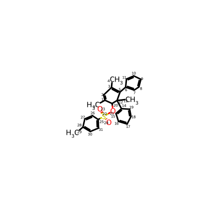 CC1=CC(C)=C(c2ccccc2)C(C)(c2ccccc2)C1OS(=O)(=O)c1ccc(C)cc1